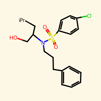 CC(C)CC(CO)N(CCCc1ccccc1)S(=O)(=O)c1ccc(Cl)cc1